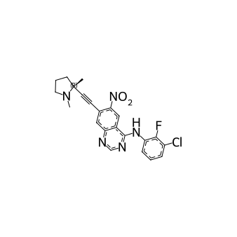 CN1CCC[C@]1(C)C#Cc1cc2ncnc(Nc3cccc(Cl)c3F)c2cc1[N+](=O)[O-]